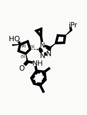 Cc1ccc(NC(=O)[C@H]2C[C@](C)(O)C[C@@H]2c2nnc([C@H]3C[C@@H](CC(C)C)C3)n2C2CC2)c(C)c1